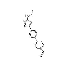 CCNc1nnc(-c2ccc(C3=CCN(C=O)CC3)cc2)s1